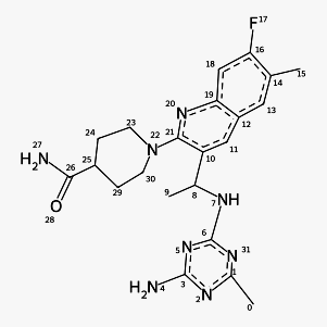 Cc1nc(N)nc(NC(C)c2cc3cc(C)c(F)cc3nc2N2CCC(C(N)=O)CC2)n1